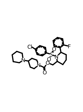 O=C(OCC1CCCC(c2ccccc2F)N1S(=O)(=O)c1ccc(Cl)cc1)N1CCC(N2CCCCC2)CC1